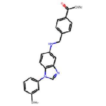 COC(=O)c1ccc(CNc2ccc3c(c2)ncn3-c2cccc(OC)c2)cc1